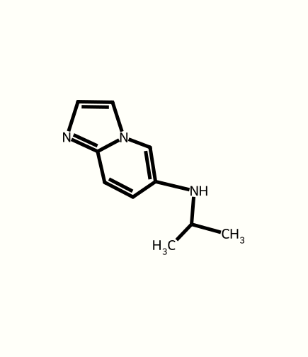 CC(C)Nc1ccc2nccn2c1